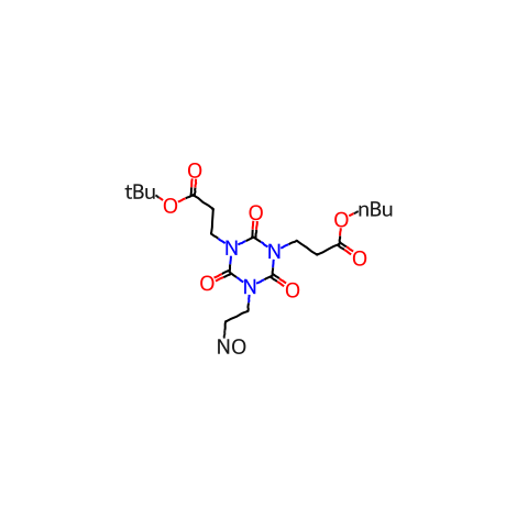 CCCCOC(=O)CCn1c(=O)n(CCN=O)c(=O)n(CCC(=O)OC(C)(C)C)c1=O